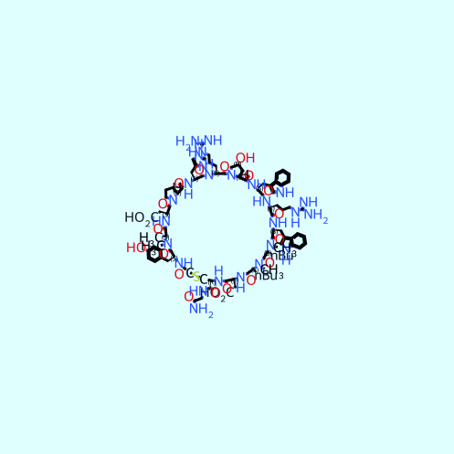 CCCC[C@H]1C(=O)N(C)[C@@H](CCCC)C(=O)N[C@@H](CC(=O)O)C(=O)N[C@H](C(=O)NCC(N)=O)CSCC(=O)N[C@@H](Cc2ccc(O)cc2)C(=O)N(C)[C@@H](C)C(=O)N[C@@H](CC(=O)O)C(=O)N2CCC[C@H]2C(=O)N[C@@H](Cc2c[nH]cn2)C(=O)N[C@@H](CCCNC(=N)N)C(=O)N2C[C@H](O)C[C@H]2C(=O)N[C@@H](Cc2c[nH]c3ccccc23)C(=O)N[C@@H](CCCNC(=N)N)C(=O)N[C@@H](Cc2c[nH]c3ccccc23)C(=O)N1C